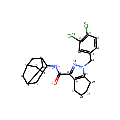 O=C(NC1C2CC3CC(C2)CC1C3)c1nn(Cc2ccc(Cl)c(Cl)c2)c2c1CCCC2